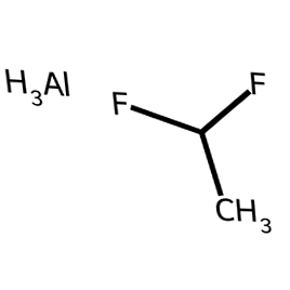 CC(F)F.[AlH3]